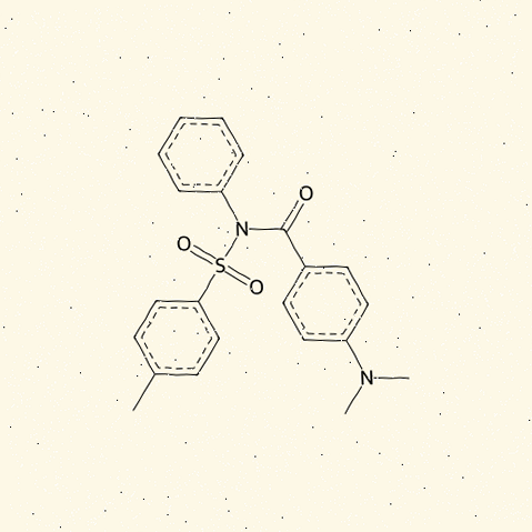 Cc1ccc(S(=O)(=O)N(C(=O)c2ccc(N(C)C)cc2)c2ccccc2)cc1